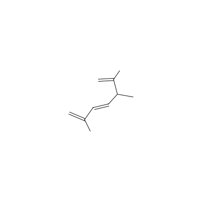 C=C(C)C=CC(C)C(=C)C